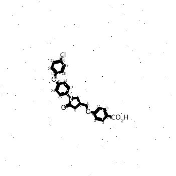 O=C(O)c1ccc(OCC2CC(=O)N(c3ccc(Oc4ccc(Cl)cc4)cc3)C2)cc1